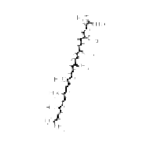 CC(C)=CCC/C(C)=C/C=C/C(C)=C/C=C/C(C)=C/C=C/C=C(C)/C=C/C=C(C)/C=C/C=C(\C)CC/C=C(/C)C=O